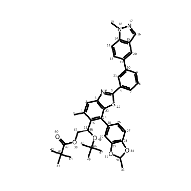 Cc1cc2nc(-c3cccc(-c4ccc5c(cnn5C)c4)c3)sc2c(-c2ccc3c(c2)OC(C)O3)c1[C@H](COC(=O)C(C)(C)C)OC(C)(C)C